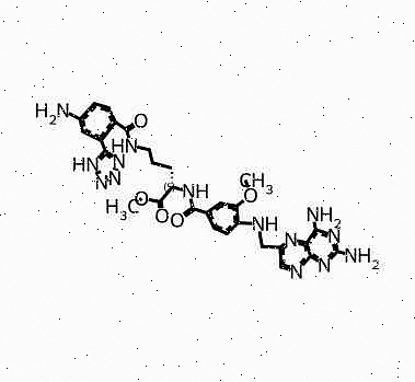 COC(=O)[C@H](CCCNC(=O)c1ccc(N)cc1-c1nnn[nH]1)NC(=O)c1ccc(NCc2cnc3nc(N)nc(N)c3n2)c(OC)c1